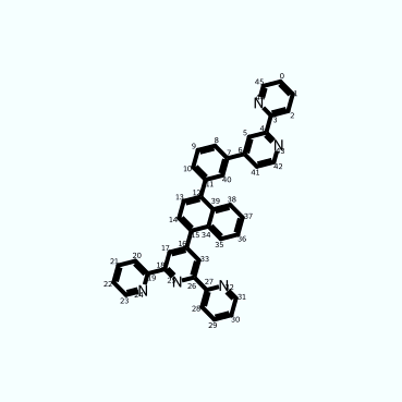 c1ccc(-c2cc(-c3cccc(-c4ccc(-c5cc(-c6ccccn6)nc(-c6ccccn6)c5)c5ccccc45)c3)ccn2)nc1